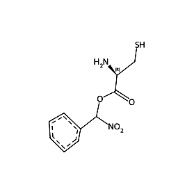 N[C@@H](CS)C(=O)OC(c1ccccc1)[N+](=O)[O-]